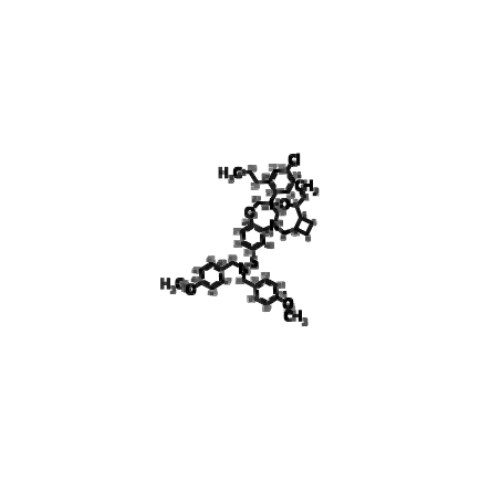 C=CC(O)C1CC[C@H]1CN1CC(c2ccc(Cl)cc2CCC)COc2ccc(SN(Cc3ccc(OC)cc3)Cc3ccc(OC)cc3)cc21